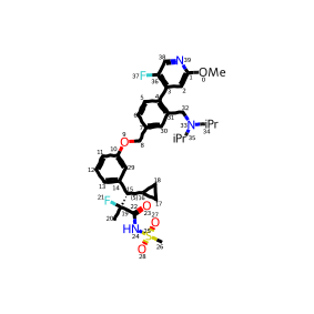 COc1cc(-c2ccc(COc3cccc([C@H](C4CC4)C(C)(F)C(=O)NS(C)(=O)=O)c3)cc2CN(C(C)C)C(C)C)c(F)cn1